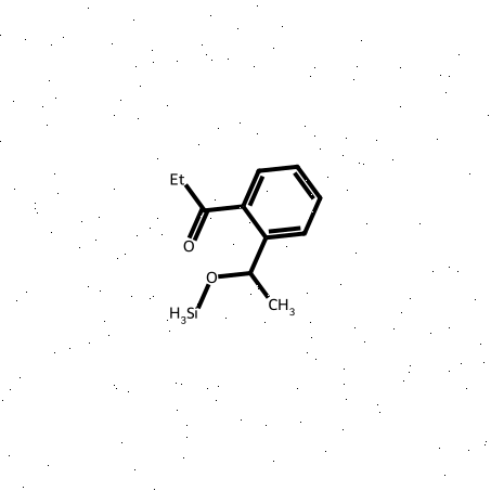 CCC(=O)c1ccccc1C(C)O[SiH3]